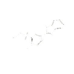 CCCCCCNS(=O)(=O)c1cc(-c2cc3ccccc3[nH]2)ccc1C